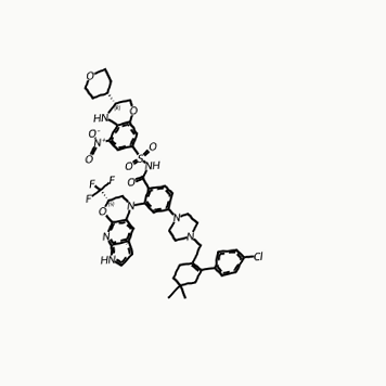 CC1(C)CCC(CN2CCN(c3ccc(C(=O)NS(=O)(=O)c4cc5c(c([N+](=O)[O-])c4)N[C@H](C4CCOCC4)CO5)c(N4C[C@@H](C(F)(F)F)Oc5nc6[nH]ccc6cc54)c3)CC2)=C(c2ccc(Cl)cc2)C1